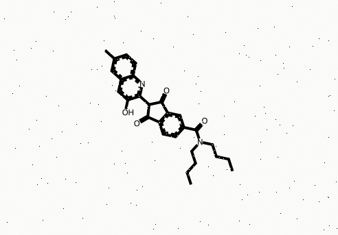 CCCCN(CCCC)C(=O)c1ccc2c(c1)C(=O)C(c1nc3ccc(C)cc3cc1O)C2=O